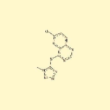 Cn1nnnc1Sc1ncnc2ccc(Cl)cc12